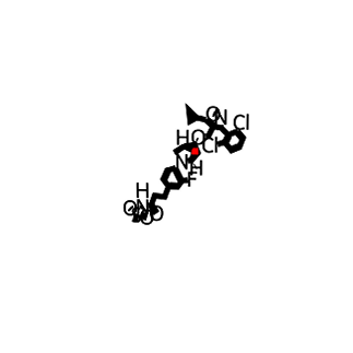 CS(=O)(=O)NC(=O)CCc1ccc(N2C[C@@H]3C[C@H]2C[C@H]3OCc2c(-c3c(Cl)cccc3Cl)noc2C2CC2)c(F)c1